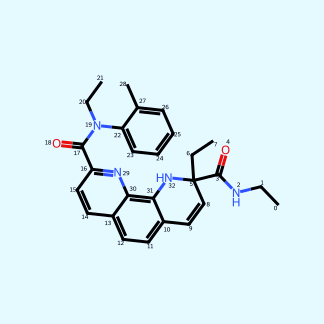 CCNC(=O)C1(CC)C=Cc2ccc3ccc(C(=O)N(CC)c4ccccc4C)nc3c2N1